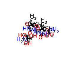 CCC1(CC)C(=O)NC(=O)NC1=O.CCC1(CC)C(=O)NC(=O)NC1=O.NC(CO)(CO)CO.NCC(=O)O